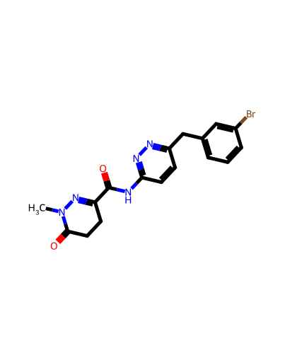 CN1N=C(C(=O)Nc2ccc(Cc3cccc(Br)c3)nn2)CCC1=O